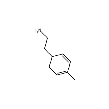 CC1=CCC(CCN)C=C1